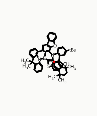 CC(C)(C)c1ccc(N2c3c(sc4cc5c(cc34)C(C)(C)CCC5(C)C)B3c4c(cc5c(oc6ccccc65)c42)-c2cccc4c2N3c2ccccc2C4(C)C)c(-c2ccccc2)c1